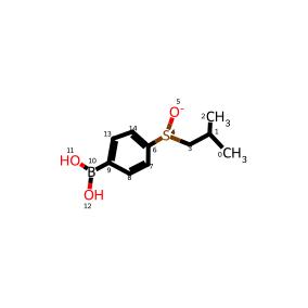 CC(C)C[S+]([O-])c1ccc(B(O)O)cc1